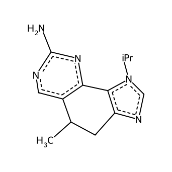 CC1Cc2ncn(C(C)C)c2-c2nc(N)ncc21